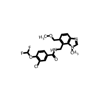 COCc1ccc2ncn(C)c2c1CNC(=O)c1ccc(OC(F)F)c(Cl)c1